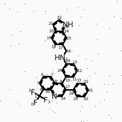 FC(F)(F)c1cccc2c(-c3cccc(NCc4ccc5cc[nH]c5c4)c3)c(-c3ccccc3)cnc12